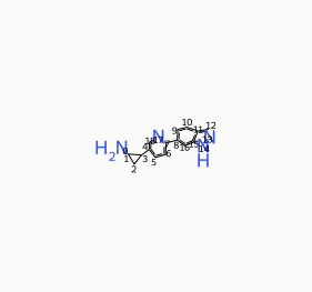 NC1CC1c1ccc(-c2ccc3cn[nH]c3c2)nc1